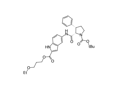 CCOCCCOC(=O)c1cc2cc(NC(=O)[C@@H]3[C@H](c4ccccc4)CCN3C(=O)OC(C)(C)C)ccc2[nH]1